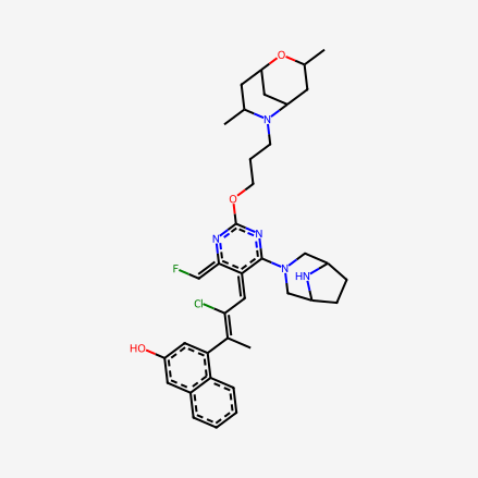 C\C(=C(Cl)/C=c1/c(N2CC3CCC(C2)N3)nc(OCCCN2C(C)CC3CC2CC(C)O3)n/c1=C\F)c1cc(O)cc2ccccc12